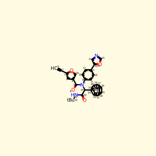 C#Cc1cc(C(=O)N(c2ccc(-c3cnco3)cc2)C(C(=O)NC(C)(C)C)[C]23[CH]4[CH]5[CH]6[CH]2[Fe]56432789[CH]3[CH]2[CH]7[CH]8[CH]39)co1